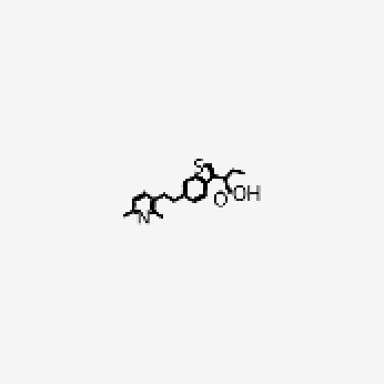 CCC(C(=O)O)c1csc2cc(CCc3ccc(C)nc3C)ccc12